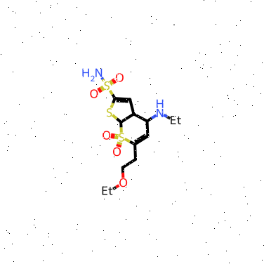 CCNC1C=C(CCOCC)S(=O)(=O)C2SC(S(N)(=O)=O)=CC12